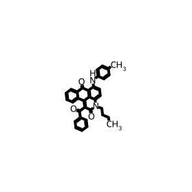 CCCCn1c(=O)c(C(=O)c2ccccc2)c2c3c(c(Nc4ccc(C)cc4)ccc31)C(=O)c1ccccc1-2